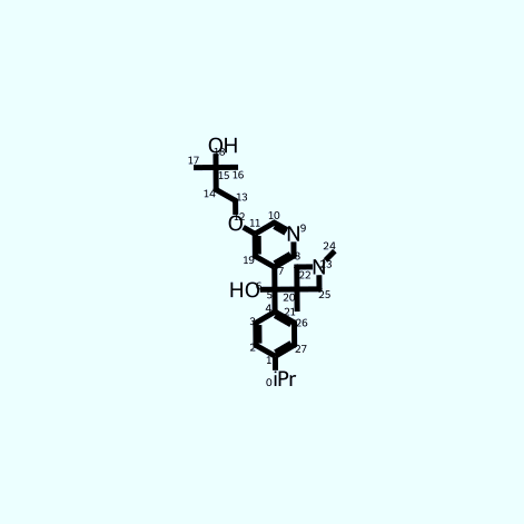 CC(C)c1ccc(C(O)(c2cncc(OCCC(C)(C)O)c2)C2(C)CN(C)C2)cc1